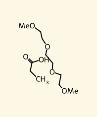 CCC(=O)O.COCCOCCOCCOC